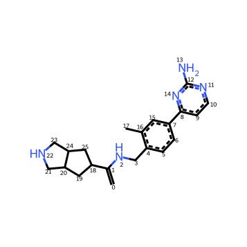 C=C(NCc1ccc(-c2ccnc(N)n2)cc1C)C1CC2CNCC2C1